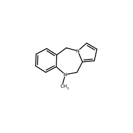 CN1Cc2cccn2Cc2ccccc21